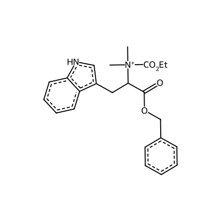 CCOC(=O)[N+](C)(C)C(Cc1c[nH]c2ccccc12)C(=O)OCc1ccccc1